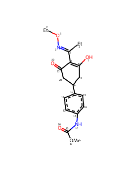 CCON=C(CC)C1=C(O)CC(c2ccc(NC(=O)OC)cc2)CC1=O